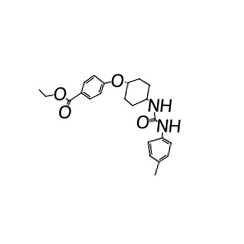 CCOC(=O)c1ccc(O[C@H]2CC[C@@H](NC(=O)Nc3ccc(C)cc3)CC2)cc1